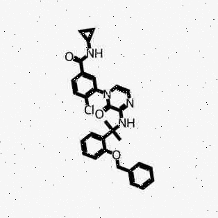 CC(C)(Nc1nccn(-c2cc(C(=O)NC3CC3)ccc2Cl)c1=O)c1ccccc1OCc1ccccc1